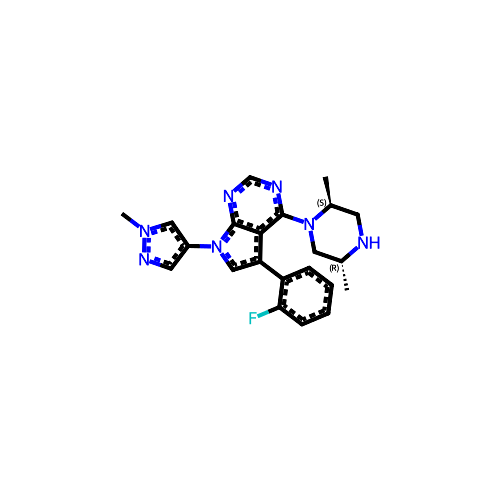 C[C@@H]1CN(c2ncnc3c2c(-c2ccccc2F)cn3-c2cnn(C)c2)[C@@H](C)CN1